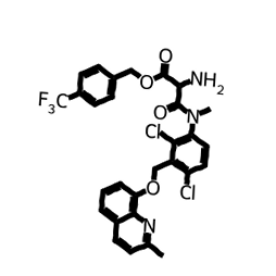 Cc1ccc2cccc(OCc3c(Cl)ccc(N(C)C(=O)C(N)C(=O)OCc4ccc(C(F)(F)F)cc4)c3Cl)c2n1